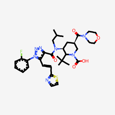 CC(C)CN(C(=O)c1nnn(-c2ccccc2F)c1C=Cc1nccs1)[C@H]1C[C@@H](C(=O)N2CCOCC2)CN(C(=O)O)C1C(C)(C)C